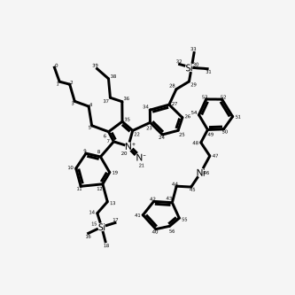 CCCCCCC1=C(c2cccc(CC[Si](C)(C)C)c2)[N+](=[N-])C(c2cccc(CC[Si](C)(C)C)c2)=C1CCCC.c1ccc(C[CH2][Ni][CH2]Cc2ccccc2)cc1